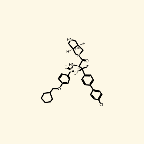 O=C([C@H](NS(=O)(=O)c1ccc(OCC2CCCCC2)cc1)C(F)(F)c1ccc(-c2ccc(Cl)cc2)cc1)N1C[C@H]2CNC[C@H]2C1